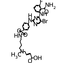 CN(CC=CC(=O)O)CCCCNS(=O)(=O)c1ccc(Nc2ncc(Br)c(Nc3cccc(F)c3C(N)=O)n2)cc1